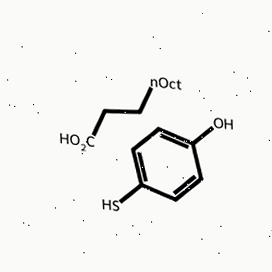 CCCCCCCCCCC(=O)O.Oc1ccc(S)cc1